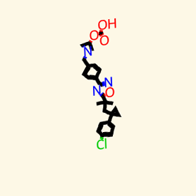 CC(C)(CC1(c2ccc(Cl)cc2)CC1)c1nc(-c2ccc(CN3CC(OC(=O)O)C3)cc2)no1